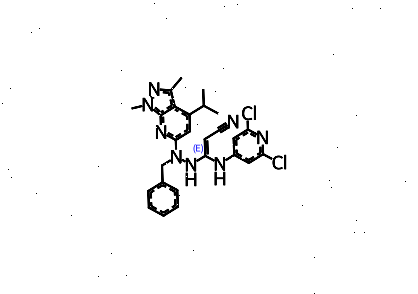 Cc1nn(C)c2nc(N(Cc3ccccc3)N/C(=C/C#N)Nc3cc(Cl)nc(Cl)c3)cc(C(C)C)c12